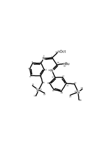 CCCCCCCCC(=Nc1cccc(C[Si](C)(C)C)c1)C(CCCC)=Nc1cccc(C[Si](C)(C)C)c1